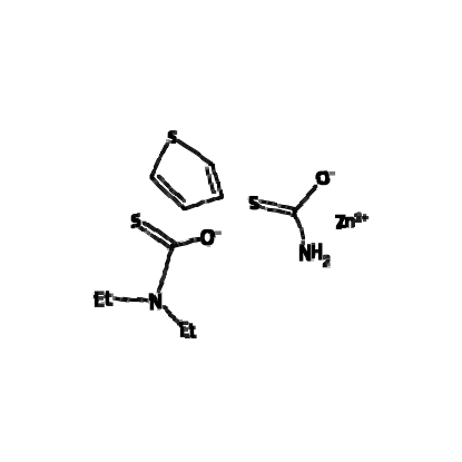 CCN(CC)C([O-])=S.NC([O-])=S.[Zn+2].c1ccsc1